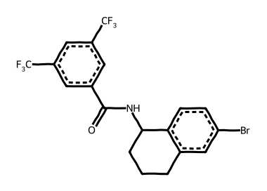 O=C(NC1CCCc2cc(Br)ccc21)c1cc(C(F)(F)F)cc(C(F)(F)F)c1